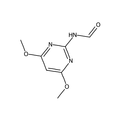 COc1cc(OC)nc(NC=O)n1